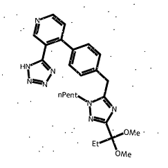 CCCCCn1nc(C(CC)(OC)OC)nc1Cc1ccc(-c2ccncc2-c2nnn[nH]2)cc1